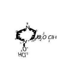 Cl.Cl.O.O.[O-][n+]1ccncc1